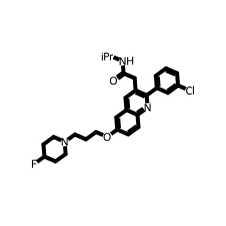 CC(C)NC(=O)Cc1cc2cc(OCCCN3CCC(F)CC3)ccc2nc1-c1cccc(Cl)c1